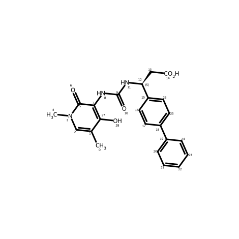 Cc1cn(C)c(=O)c(NC(=O)N[C@@H](CC(=O)O)c2ccc(-c3ccccc3)cc2)c1O